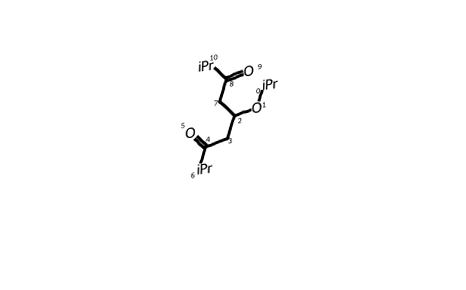 CC(C)OC(CC(=O)C(C)C)CC(=O)C(C)C